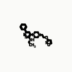 CCNc1nnc(-c2ccccc2)cc1N1CCN(CCOc2ccon2)CC1